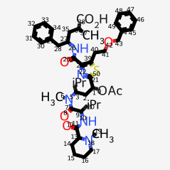 CC(=O)OC(CC(C(C)C)N(C)C(=O)C(NC(=O)C1CCCCN1C)C(C)C)c1nc(C(=O)NC(Cc2ccccc2)CC(C)C(=O)O)c(CCOCc2ccccc2)s1